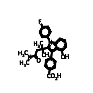 CN(C)C(=O)CC(C)(C)c1c(-c2ccc(C(=O)O)cc2)c2c(O)cccc2n1-c1ccc(F)cc1